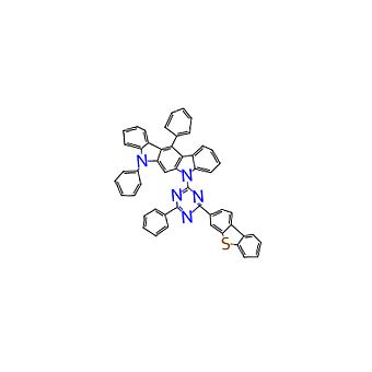 c1ccc(-c2nc(-c3ccc4c(c3)sc3ccccc34)nc(-n3c4ccccc4c4c(-c5ccccc5)c5c6ccccc6n(-c6ccccc6)c5cc43)n2)cc1